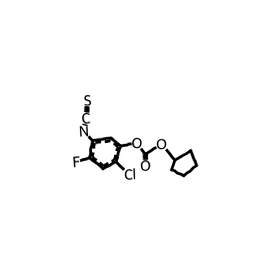 O=C(Oc1cc(N=C=S)c(F)cc1Cl)OC1CCCC1